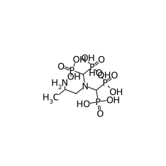 CC(N)CN(C(P(=O)(O)O)P(=O)(O)O)C(P(=O)(O)O)P(=O)(O)O